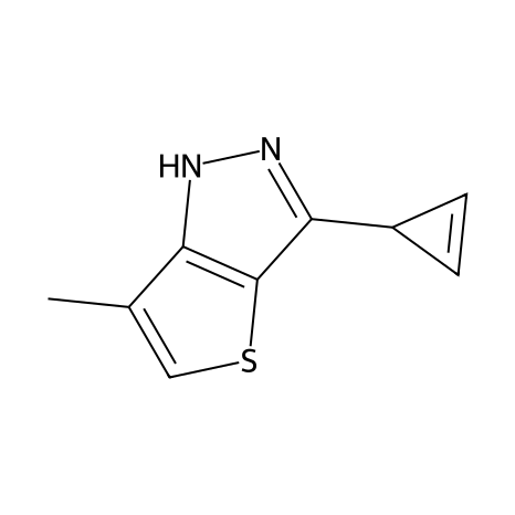 Cc1csc2c(C3C=C3)n[nH]c12